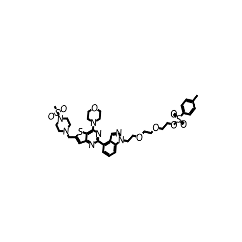 Cc1ccc(S(=O)(=O)OCCOCCOCCn2ncc3c(-c4nc(N5CCOCC5)c5sc(CN6CCN(S(C)(=O)=O)CC6)cc5n4)cccc32)cc1